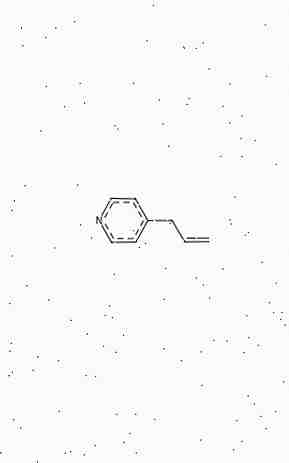 C=CCc1ccncc1